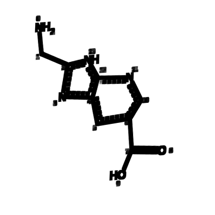 NCc1nc2cc(C(=O)O)cnc2[nH]1